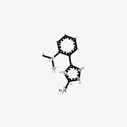 C[S+]([O-])c1ccccc1-c1nnc(N)s1